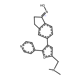 CN(C)Cc1cc(-c2ccc3c(c2)CC/C3=N\O)c(-c2ccncc2)o1